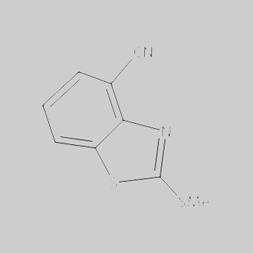 CSc1nc2c(C#N)cccc2s1